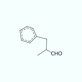 CC(C=O)Cc1ccccc1